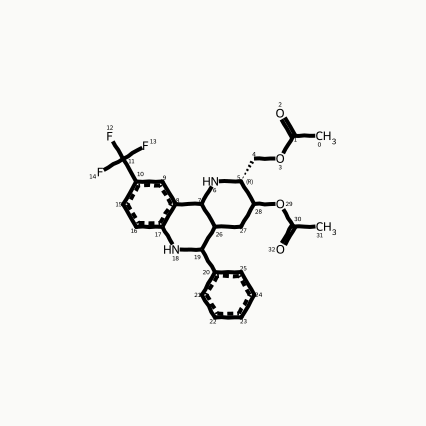 CC(=O)OC[C@H]1NC2c3cc(C(F)(F)F)ccc3NC(c3ccccc3)C2CC1OC(C)=O